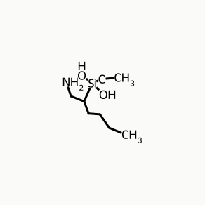 CCCCC(CN)[Si](O)(O)CC